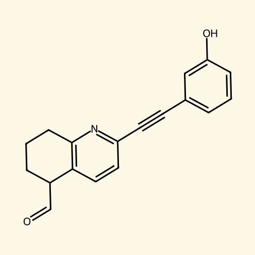 O=CC1CCCc2nc(C#Cc3cccc(O)c3)ccc21